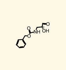 O=C[C@@H](O)CNC(=O)OCc1ccccc1